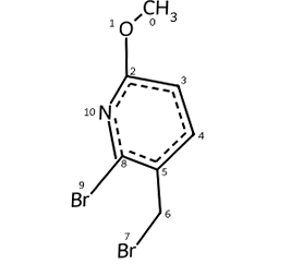 COc1ccc(CBr)c(Br)n1